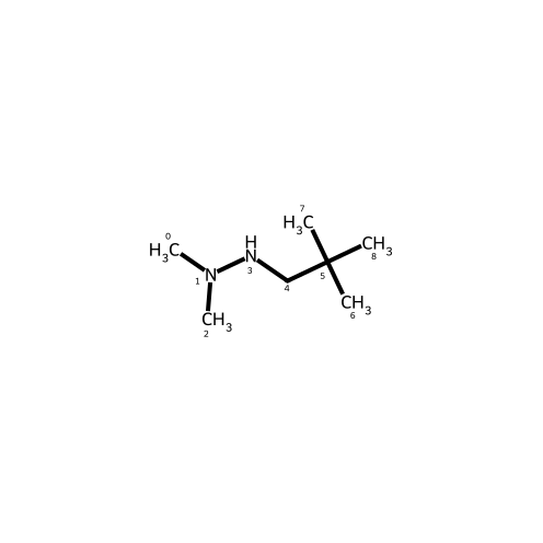 CN(C)NCC(C)(C)C